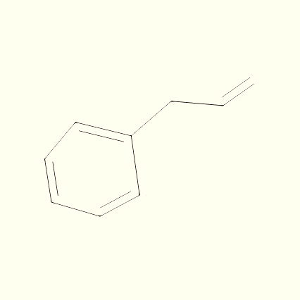 C=CCc1[c][c]ccc1